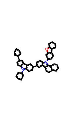 c1ccc(-c2ccc3c(c2)c2cc(-c4ccc5c(c4)c4ccc6ccccc6c4n5-c4ccc5c(c4)oc4ccccc45)ccc2n3-c2ccccc2)cc1